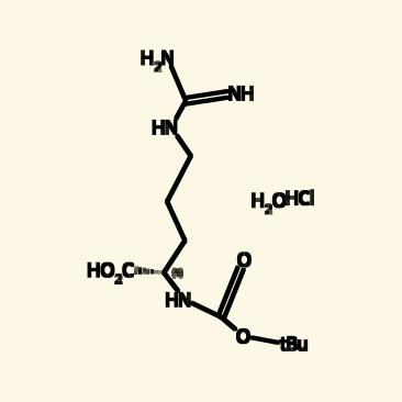 CC(C)(C)OC(=O)N[C@@H](CCCNC(=N)N)C(=O)O.Cl.O